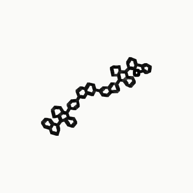 c1ccc2c(-c3c4ccccc4c(-c4ccc(-c5ccc6ccc(-c7ccc8ccc(-c9c%10ccccc%10c(-c%10cccc%11c%10oc%10ccccc%10%11)c%10ccccc9%10)cc8c7)cc6c5)cc4)c4ccccc34)cccc2c1